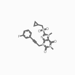 Cn1c(=O)c2c(nc(S(=O)(=O)CC3CC3)n2C)n(CC#Cc2cccc(F)c2)c1=O